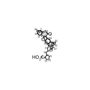 CNC(=O)c1c(-c2ccc(C)cc2)oc2nc(N(CCCC3CCCC3C(=O)O)S(C)(=O)=O)c(C3CC3)cc12